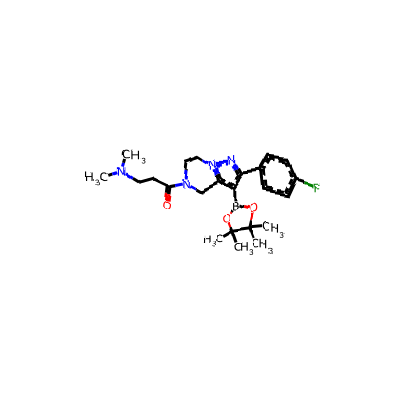 CN(C)CCC(=O)N1CCn2nc(-c3ccc(F)cc3)c(B3OC(C)(C)C(C)(C)O3)c2C1